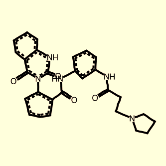 O=C(CCN1CCCC1)Nc1cccc(NC(=O)c2ccccc2-n2c(=O)[nH]c3ccccc3c2=O)c1